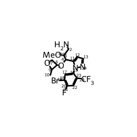 CO[C@@H](CN)C(OC1COC1C)c1ccnn1-c1cc(Br)c(F)cc1C(F)(F)F